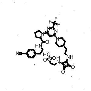 N#Cc1ccc(CCNC(=O)C2CCCN2c2cc(N3CCC(CCNc4c(NCCS(=O)(=O)O)c(=O)c4=O)CC3)nc(C(F)(F)F)n2)cc1